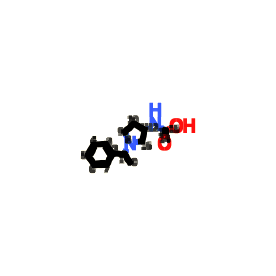 CC(c1ccccc1)N1CC[C@H](NC(=O)O)C1